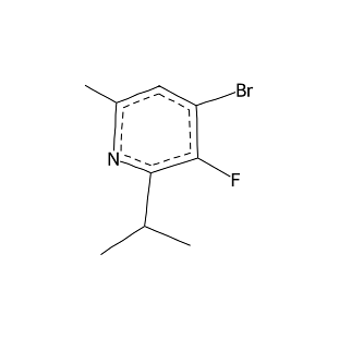 Cc1cc(Br)c(F)c(C(C)C)n1